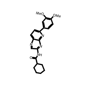 COc1ccc(-c2ccc3ncc(NC(=O)C4CCCCC4)nc3n2)cc1OC